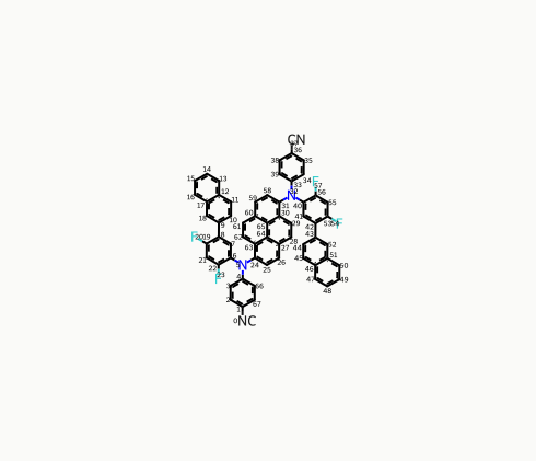 [C-]#[N+]c1ccc(N(c2cc(-c3ccc4ccccc4c3)c(F)cc2F)c2ccc3ccc4c(N(c5ccc(C#N)cc5)c5cc(-c6ccc7ccccc7c6)c(F)cc5F)ccc5ccc2c3c54)cc1